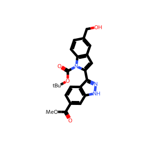 COC(=O)c1ccc2c(-c3cc4cc(CO)ccc4n3C(=O)OC(C)(C)C)n[nH]c2c1